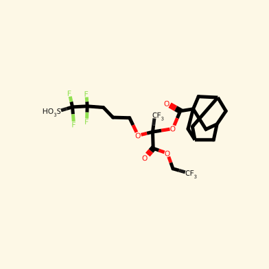 O=C(OC(OCCCC(F)(F)C(F)(F)S(=O)(=O)O)(C(=O)OCC(F)(F)F)C(F)(F)F)C12CC3CC(CC(C3)C1)C2